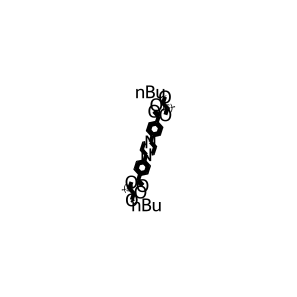 CCCCOC(=O)[C@H](C)OC(=O)c1ccc(N2CCN(c3ccc(C(=O)O[C@@H](C)C(=O)OCCCC)cc3)CC2)cc1